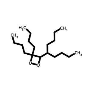 CCCCC(CCCC)[C]1OOC1(CCCC)CCCC